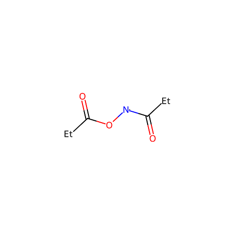 CCC(=O)[N]OC(=O)CC